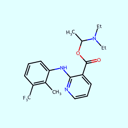 CCN(CC)C(C)OC(=O)c1cccnc1Nc1cccc(C(F)(F)F)c1C